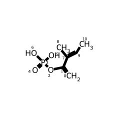 C=C(OP(=O)(O)O)C(C)=CC